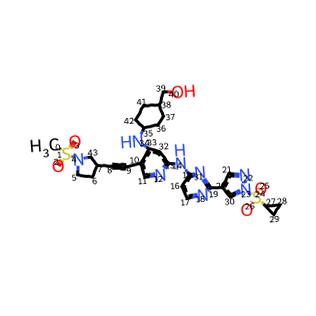 CS(=O)(=O)N1CCC(C#Cc2cnc(Nc3ccnc(-c4cnn(S(=O)(=O)C5CC5)c4)n3)cc2NC2CCC(CO)CC2)C1